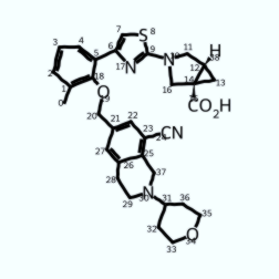 Cc1cccc(-c2csc(N3C[C@@H]4C[C@]4(C(=O)O)C3)n2)c1OCc1cc(C#N)c2c(c1)CCN(C1CCOCC1)C2